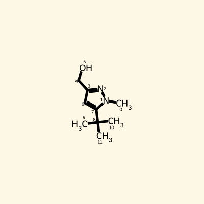 Cn1nc(CO)cc1C(C)(C)C